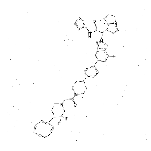 O=C(Nc1nccs1)C(c1ncn2c1CCC2)n1cc2c(F)cc(-c3ccc(N4CCN(C(=O)CN5CCC(C6=C/C=C\C=C/C=C\6)C(F)(F)C5)CC4)cc3)cc2n1